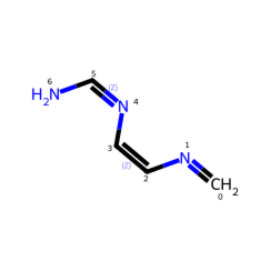 C=N/C=C\N=C/N